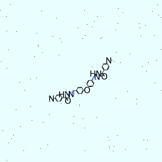 CN(C)c1ccc(C(=O)N/N=C/c2ccc(Oc3ccc(/C=N/NC(=O)c4ccc(N(C)C)cc4)cc3)cc2)cc1